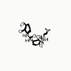 CN(C)CCNS(=O)(=O)c1c(Cl)ccc(NC(=O)Nc2cccc(Cl)c2Cl)c1O